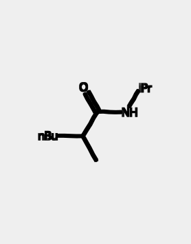 CCCCC(C)C(=O)NC(C)C